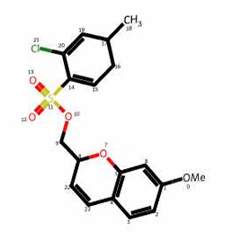 COc1ccc2c(c1)OC(COS(=O)(=O)C1=CCC(C)C=C1Cl)C=C2